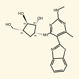 CNc1nc(C)c(-c2nc3ccccc3s2)c(N[C@@H]2C[C@H](CO)[C@@H](O)[C@@H]2O)n1